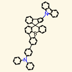 c1ccc(N(c2ccccc2)c2ccc(-c3ccc4c(c3)-c3cccc5c3B4c3ccccc3C53c4ccccc4-c4cc(-n5c6ccccc6c6ccccc65)ccc43)cc2)cc1